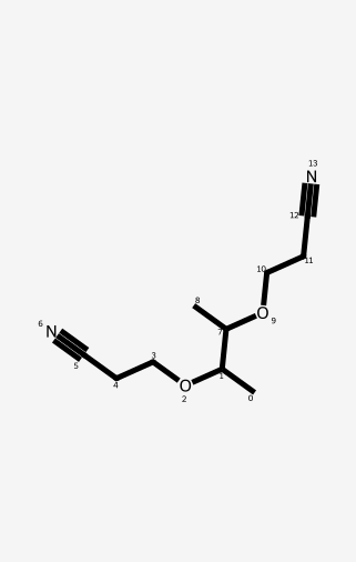 CC(OCCC#N)C(C)OCCC#N